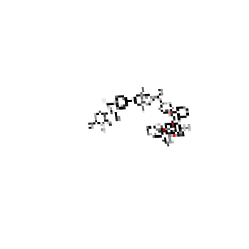 NC1=C(N2CC3CCC(C2)N3c2cccc(CN3CCC(C(=O)N4C[C@@H]5CN(c6ccc7c(c6)C(=O)N(C6CCC(=O)NC6=O)C7=O)C[C@@H]5C4)CC3)c2)C=C(c2ccccc2O)NN1